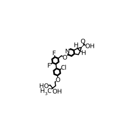 CC(O)(CO)CCOc1ccc(-c2cc(COc3cc4c(cn3)[C@H]3[C@@H](C4)[C@@H]3C(=O)O)c(F)cc2F)c(Cl)c1